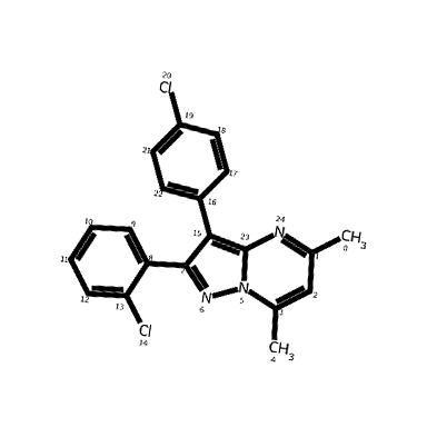 Cc1cc(C)n2nc(-c3ccccc3Cl)c(-c3ccc(Cl)cc3)c2n1